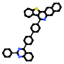 c1ccc(-c2nc(-c3ccc(-c4ccc(-c5nc6cc7ccccc7cc6c6sc7ccccc7c56)cc4)cc3)c3ccccc3n2)cc1